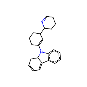 C1=CCC2C(=C1)c1ccccc1N2C1=CC(C2CCCC=N2)CCC1